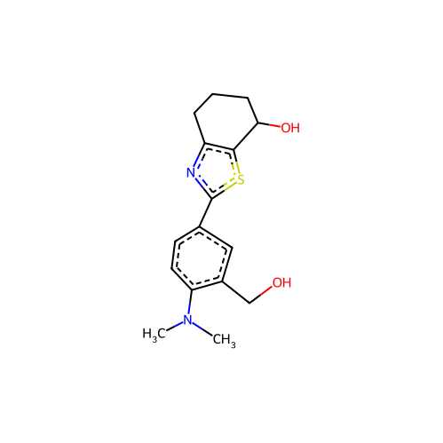 CN(C)c1ccc(-c2nc3c(s2)C(O)CCC3)cc1CO